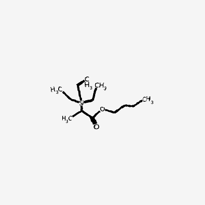 CCCCOC(=O)C(C)[Si](CC)(CC)CC